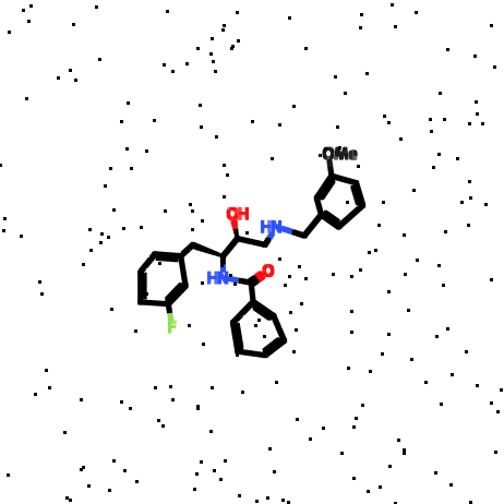 COc1cccc(CNC[C@H](O)[C@H](Cc2cccc(F)c2)NC(=O)c2ccccc2)c1